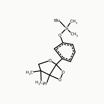 CC(C)C12OOC1(c1cccc(O[Si](C)(C)C(C)(C)C)c1)OCC2(C)C